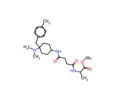 Cc1ccc(CC2(N(C)C)CCC(NC(=O)CCC(=O)NC(C)C(=O)OC(C)(C)C)CC2)cc1